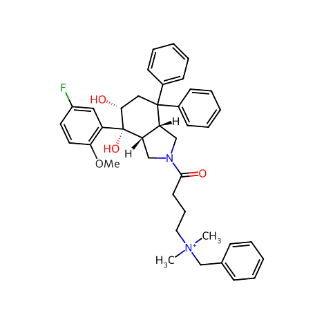 COc1ccc(F)cc1[C@@]1(O)[C@H](O)CC(c2ccccc2)(c2ccccc2)[C@@H]2CN(C(=O)CCC[N+](C)(C)Cc3ccccc3)C[C@@H]21